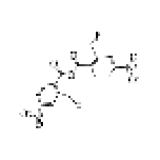 O=C(OC(=O)c1ccc([N+](=O)[O-])cc1CF)c1ccc([N+](=O)[O-])cc1CF